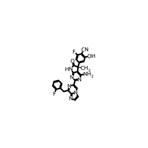 C[C@]1(c2cc(O)c(C#N)c(F)c2)C(=O)Nc2nc(-c3cn4ccnc4c(Cc4ccccc4F)n3)nc(N)c21